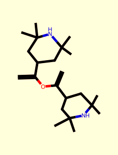 C=C(OC(=C)C1CC(C)(C)NC(C)(C)C1)C1CC(C)(C)NC(C)(C)C1